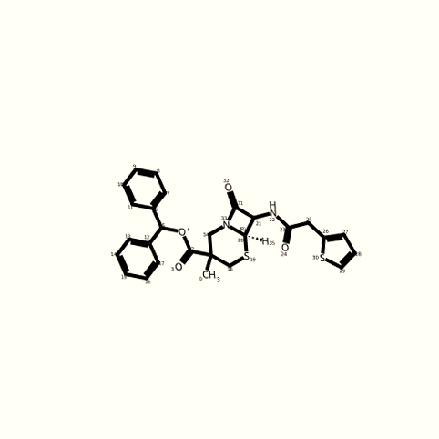 CC1(C(=O)OC(c2ccccc2)c2ccccc2)CS[C@@H]2C(NC(=O)Cc3cccs3)C(=O)N2C1